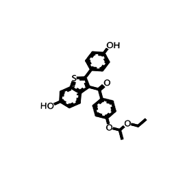 CCOC(C)Oc1ccc(C(=O)c2c(-c3ccc(O)cc3)sc3cc(O)ccc23)cc1